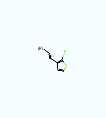 CC(C)/C=C/c1ccsc1F